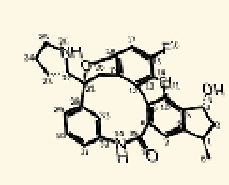 C[C@@H]1C[C@@H](O)c2c1cc1c(c2F)-c2c(Cl)c(F)cc3c2C[C@]([C@@H]2CCCN2)(O3)c2cccc(c2)NC1=O